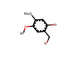 COc1cc(Br)c(CBr)cc1OC(C)C